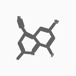 Cc1cc(C#N)c2cc(Br)cc(F)c2n1